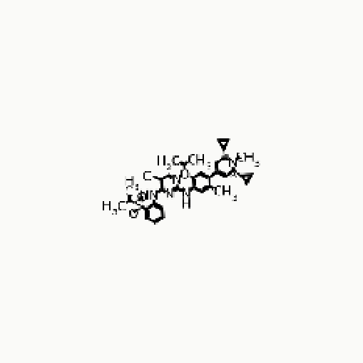 Cc1cc(Nc2ncc(Cl)c(Nc3ccccc3S(=O)(=O)C(C)C)n2)c(OC(C)C)cc1C1=C[C@H](C2CC2)N(C)[C@@H](C2CC2)C1